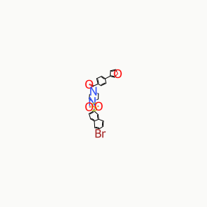 O=C(c1ccc(-c2ccoc2)cc1)N1CCN(S(=O)(=O)c2ccc3cc(Br)ccc3c2)CC1